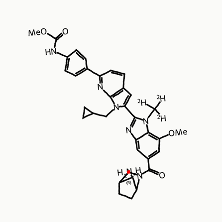 [2H]C([2H])([2H])n1c(-c2cc3ccc(-c4ccc(NC(=O)OC)cc4)nc3n2CC2CC2)nc2cc(C(=O)N3CC4CCC3[C@@H]4N)cc(OC)c21